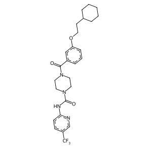 O=C(Nc1ccc(C(F)(F)F)cn1)N1CCN(C(=O)c2cccc(OCCC3CCCCC3)c2)CC1